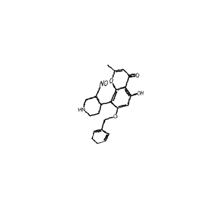 Cc1cc(=O)c2c(O)cc(OCC3=CCCC=C3)c(C3CCNCC3N=O)c2o1